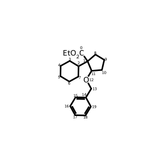 CCOC(=O)C1(C2CCCCC2)CCCC1OCc1ccccc1